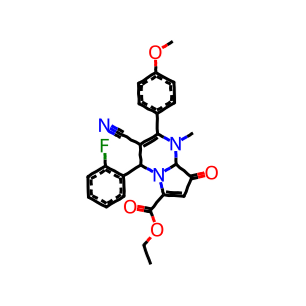 CCOC(=O)C1=CC(=O)C2N(C)C(c3ccc(OC)cc3)=C(C#N)C(c3ccccc3F)N12